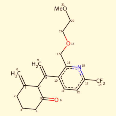 C=C1CCCC(=O)C1C(=C)c1ccc(C(F)(F)F)nc1COCCOC